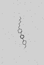 CCCCCCCC1CC=C(c2ccc(C3=CCC(CC)CC3)cc2)CC1